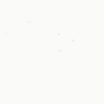 CNC(=O)c1cc(Oc2ccc3nc(Nc4cc(C5CCCCC5)ccc4OC)ncc3c2)ccn1